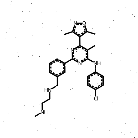 CNCCNCc1cccc(-c2nc(Nc3ccc(Cl)cc3)c(C)c(-c3c(C)noc3C)n2)c1